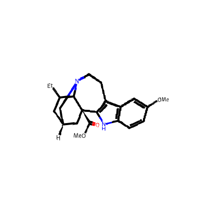 CCC1C[C@@H]2CN3CCc4c([nH]c5ccc(OC)cc45)[C@](C(=O)OC)(C2)C13